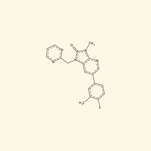 Cc1cc(-c2cnc3c(c2)n(Cc2ncccn2)c(=O)n3C)ccc1F